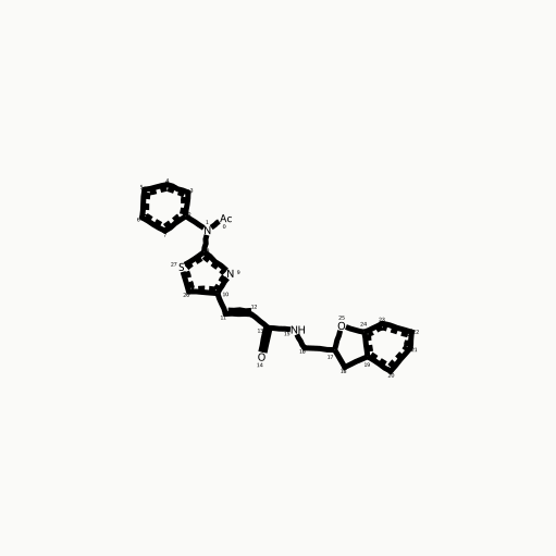 CC(=O)N(c1ccccc1)c1nc(C=CC(=O)NCC2Cc3ccccc3O2)cs1